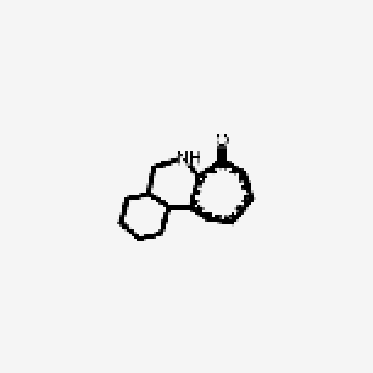 O=c1ccccc2c1NCC1CCCCC21